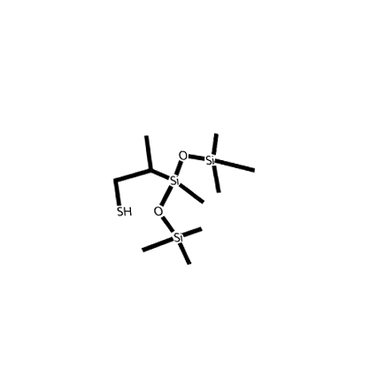 CC(CS)[Si](C)(O[Si](C)(C)C)O[Si](C)(C)C